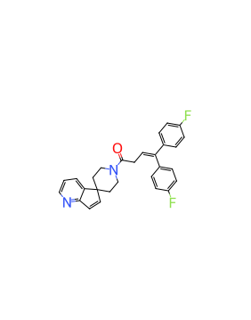 O=C(CC=C(c1ccc(F)cc1)c1ccc(F)cc1)N1CCC2(C=Cc3ncccc32)CC1